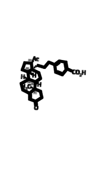 CC(=O)[C@H]1CC[C@H]2[C@@H]3CCC4=CC(=O)CC[C@]4(C)[C@H]3CC[C@]12CCCc1ccc(C(=O)O)cc1